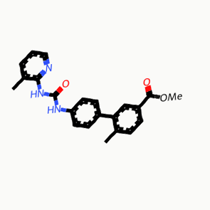 COC(=O)c1ccc(C)c(-c2ccc(NC(=O)Nc3ncccc3C)cc2)c1